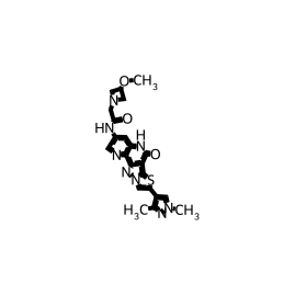 COC1CN(CC(=O)Nc2cnc3c(c2)[nH]c(=O)c2c3nn3cc(-c4cn(C)nc4C)sc23)C1